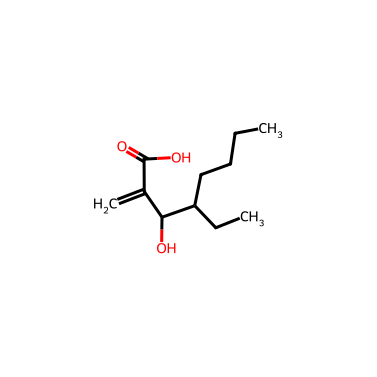 C=C(C(=O)O)C(O)C(CC)CCCC